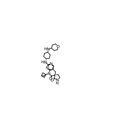 O=C1NCC[C@@]12Cc1cnc(N[C@H]3CC[C@H](NC4CCOCC4)CC3)nc1N(C13CC(C1)C3)C2=O